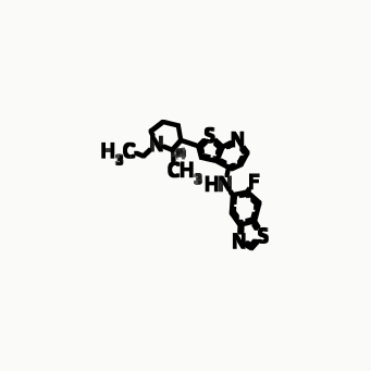 CCN1CCCC(c2cc3c(Nc4cc5ncsc5cc4F)ccnc3s2)[C@H]1C